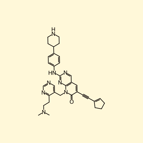 CN(C)CCc1ncncc1Cn1c(=O)c(C#CC2=CCCC2)cc2cnc(Nc3ccc(C4CCNCC4)cc3)nc21